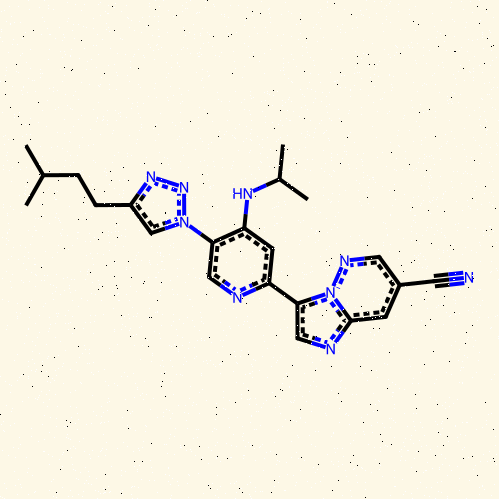 CC(C)CCc1cn(-c2cnc(-c3cnc4cc(C#N)cnn34)cc2NC(C)C)nn1